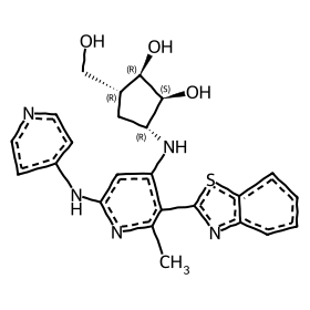 Cc1nc(Nc2ccncc2)cc(N[C@@H]2C[C@H](CO)[C@@H](O)[C@H]2O)c1-c1nc2ccccc2s1